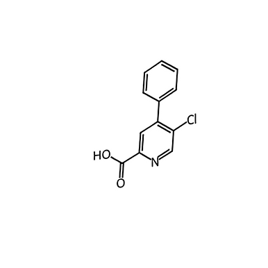 O=C(O)c1cc(-c2ccccc2)c(Cl)cn1